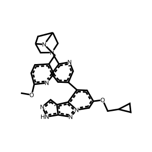 COc1ccc(CN2C3CC2CN(c2ccc(-c4cc(OCC5CC5)cn5nc6[nH]ncc6c45)cn2)C3)cn1